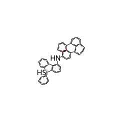 c1ccc(-c2cccc3cccc(-c4ccc(Nc5cccc6c5-c5ccccc5[SiH]6c5ccccc5)cc4)c23)cc1